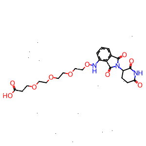 O=C(O)CCOCCOCCOCCONc1cccc2c1C(=O)N(C1CCC(=O)NC1=O)C2=O